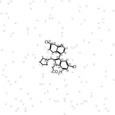 O=C(O)Cn1c(CN2CCCC2)c(-c2ccnc3c2CC=C(Cl)C3)c2cc(Cl)ccc21